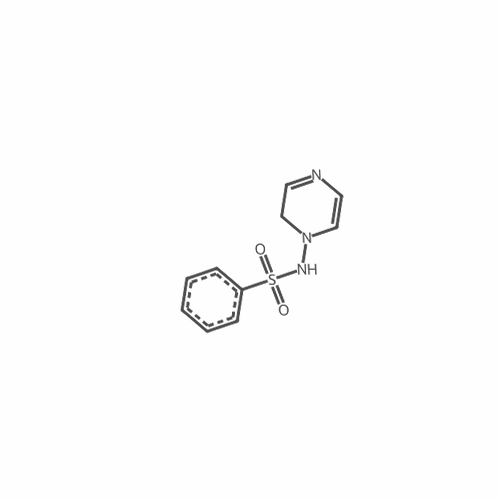 O=S(=O)(NN1C=CN=CC1)c1ccccc1